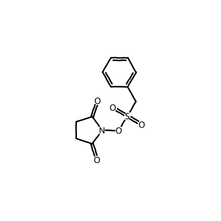 O=C1CCC(=O)N1OS(=O)(=O)Cc1ccccc1